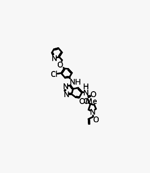 C=CC(=O)N1CCC(OC(=O)Nc2cc3c(Nc4ccc(OCc5ccccn5)c(Cl)c4)ncnc3cc2OC)C1